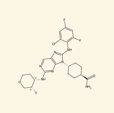 NC(=O)[C@H]1CC[C@H](n2c(Nc3c(F)cc(F)cc3Cl)nc3cnc(N[C@H]4CCOC[C@H]4F)nc32)CC1